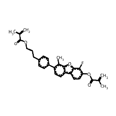 C=C(C)C(=O)OCCCc1ccc(-c2ccc3c(oc4c(F)c(OC(=O)C(=C)C)ccc43)c2C)cc1